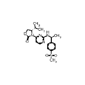 CC(C)[C@H]1COC(=O)N1c1ccnc(N[C@@H](C)c2ccc(S(C)(=O)=O)cc2)n1